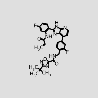 C=CC(=O)Nc1cc(F)ccc1-c1nc2c(-c3ccc(CNC(=O)c4nc(C(C)(C)C)no4)c(F)c3)ccnc2[nH]1